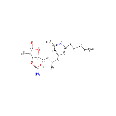 COCCCCc1cc(CC(CC(OC(N)=O)C2CC(C(C)C)C(=O)O2)C(C)C)cc(C)n1